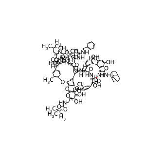 Cc1cc2ccc1Oc1cc3cc(c1O[C@@H]1O[C@H](CNC(=O)OC(C)(C)C)[C@@H](O)[C@H](O)[C@H]1O)Oc1ccc(cc1Cl)[C@@H](O)[C@@H]1NC(=O)[C@H](NC(=O)C3NC(=O)[C@H](CC(=O)NC(=O)NCc3ccccc3)NC(=O)[C@H](NC(=O)[C@@H](CC(C)C)N(C)C(=O)OC(C)(C)C)[C@@H]2O)c2ccc(O)c(c2)-c2c(O)cc(O)cc2[C@@H](C(=O)NC2C3CC4CC(C3)CC2C4)NC1=O